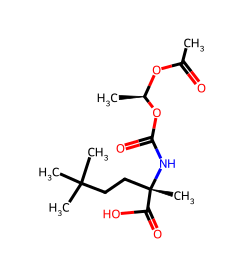 CC(=O)O[C@H](C)OC(=O)N[C@@](C)(CCC(C)(C)C)C(=O)O